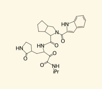 CC(C)NC(=O)C(=O)C(CC1CCNC1=O)NC(=O)C1C2CCCC2CN1C(=O)c1cc2ccccc2[nH]1